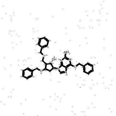 Nc1nc(OCc2ccccc2)c2ncn(C3CC(OCc4ccccc4)C(COCc4ccccc4)[C@@H]3O)c2n1